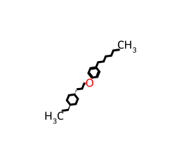 CCCCCCCc1ccc(OCCC[C@H]2CC[C@H](CCC)CC2)cc1